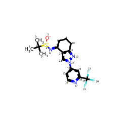 CC(C)(C)[S@+]([O-])/N=C1\CCCc2nn(-c3ccnc(C(F)(F)F)c3)cc21